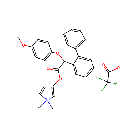 COc1ccc(OC(C(=O)OC2=C[N+](C)(C)C=C2)c2ccccc2-c2ccccc2)cc1.O=C([O-])C(F)(F)F